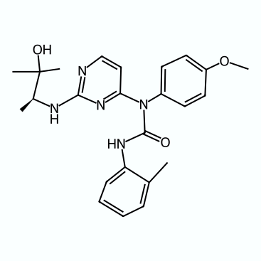 COc1ccc(N(C(=O)Nc2ccccc2C)c2ccnc(N[C@@H](C)C(C)(C)O)n2)cc1